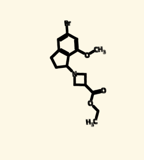 CCOC(=O)C1CN(C2CCc3cc(Br)cc(OC)c32)C1